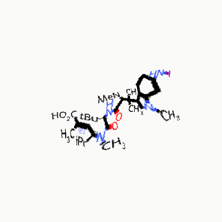 CNC(C(=O)N[C@H](C(=O)N(C)[C@H](/C=C(\C)C(=O)O)C(C)C)C(C)(C)C)C(C)(C)c1cn(C)c2cc(NI)ccc12